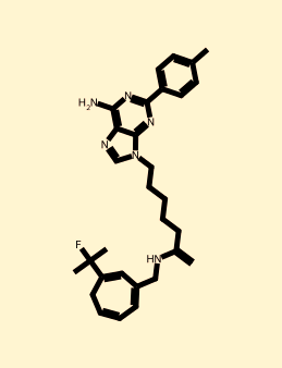 C=C(CCCCCn1cnc2c(N)nc(-c3ccc(C)cc3)nc21)NCC1=CC=CCC(C(C)(C)F)=C1